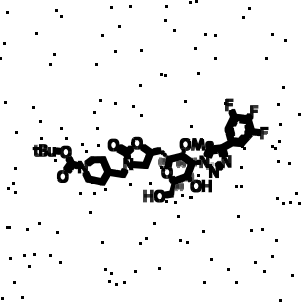 CO[C@@H]1[C@@H](n2cc(-c3cc(F)c(F)c(F)c3)nn2)[C@@H](O)[C@@H](CO)O[C@@H]1CC1CN(CC2CCN(C(=O)OC(C)(C)C)CC2)C(=O)O1